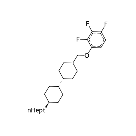 CCCCCCC[C@H]1CC[C@H](C2CCC(COc3ccc(F)c(F)c3F)CC2)CC1